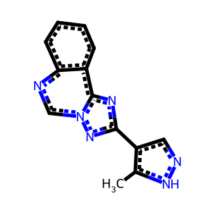 Cc1[nH]ncc1-c1nc2c3ccccc3ncn2n1